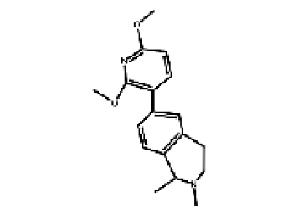 COc1ccc(-c2ccc3c(c2)CCN(C)C3C)c(OC)n1